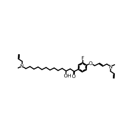 C=CCN(C)CC=CCOc1ccc(C(=O)CC(O)CCCCCCCCCCN(C)CC=C)cc1F